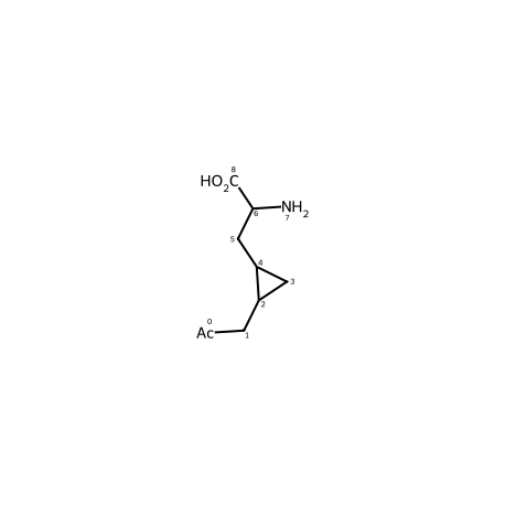 CC(=O)CC1CC1CC(N)C(=O)O